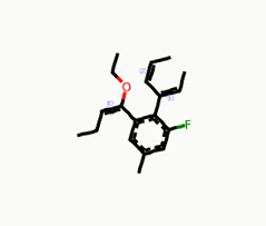 C/C=C\C(=C/C)c1c(F)cc(C)cc1/C(=C\CC)OCC